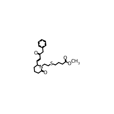 COC(=O)CCCSCCN1C(=O)CCCC1C=CC(=O)Cc1ccccc1